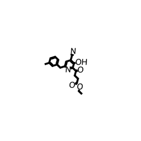 CCOC(=O)CCC(=O)c1nc(Cc2cccc(C)c2)cc(C#N)c1O